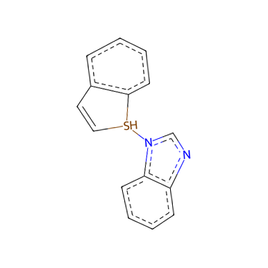 C1=C[SH](n2cnc3ccccc32)c2ccccc21